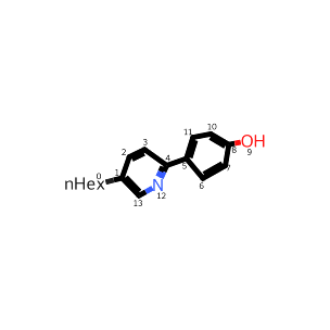 CCCCCCc1ccc(-c2ccc(O)cc2)nc1